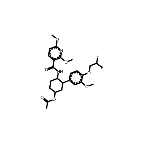 COc1ccc(C(=O)NC2CCC(OC(C)=O)CC2c2ccc(OCC(F)F)c(OC)c2)c(OC)n1